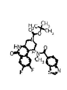 CN(C(=O)c1ccc2ncsc2c1)[C@H]1CN(C(=O)OC(C)(C)C)Cc2[nH]c(=O)c3cc(F)c(F)cc3c21